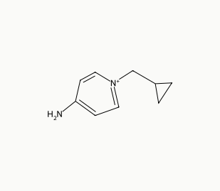 Nc1cc[n+](CC2CC2)cc1